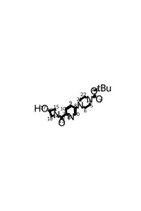 CC(C)(C)OC(=O)N1CCN(c2ccc(C(=O)N3CC(O)C3)nc2)CC1